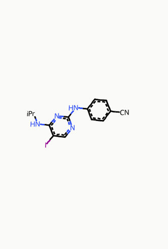 CC(C)Nc1nc(Nc2ccc(C#N)cc2)ncc1I